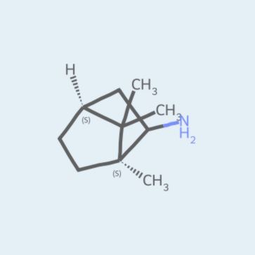 CC1(C)[C@H]2CC[C@]1(C)C(N)C2